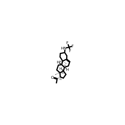 CC(=O)[C@H]1CC[C@H]2[C@@H]3CC=C4CC(NC(F)(F)F)CC[C@]4(C)[C@H]3CC[C@]12C